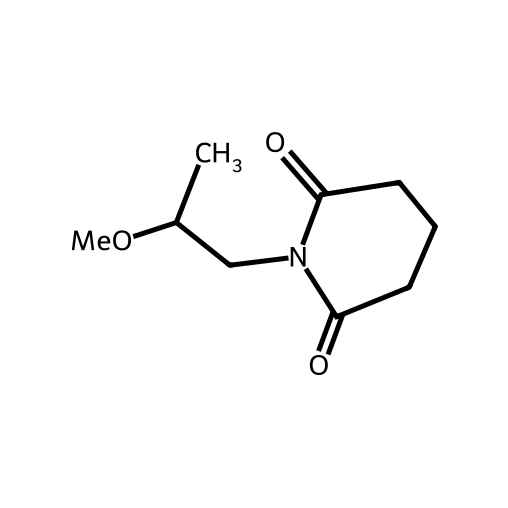 COC(C)CN1C(=O)CCCC1=O